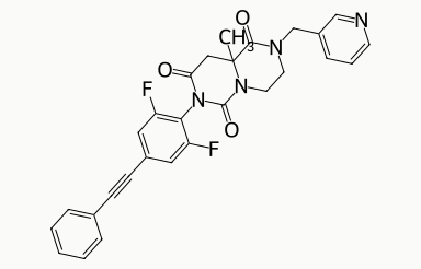 CC12CC(=O)N(c3c(F)cc(C#Cc4ccccc4)cc3F)C(=O)N1CCN(Cc1cccnc1)C2=O